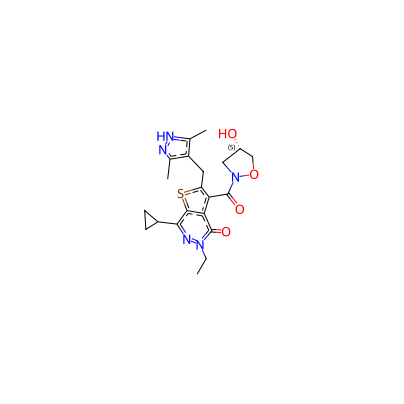 CCn1nc(C2CC2)c2sc(Cc3c(C)n[nH]c3C)c(C(=O)N3C[C@H](O)CO3)c2c1=O